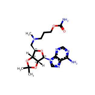 CN(CCCOC(N)=O)C[C@H]1O[C@@H](n2cnc3c(N)ncnc32)[C@@H]2OC(C)(C)O[C@@H]21